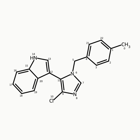 Cc1ccc(Cn2cnc(Cl)c2-c2c[nH]c3ccccc23)cc1